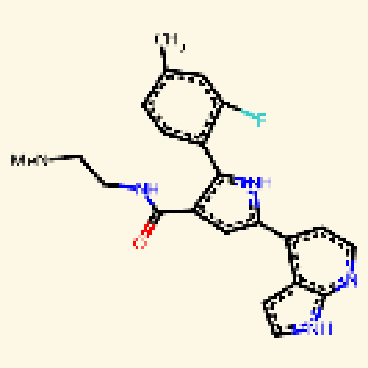 CNCCNC(=O)c1cc(-c2ccnc3[nH]ccc23)[nH]c1-c1ccc(C)cc1F